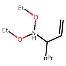 C=CC(CCC)[SiH](OCC)OCC